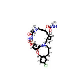 CC(C)NC(=O)O[C@H]1/C=C/CN(C)C(C)(C)C(=O)NS(=O)(=O)c2ccc3c(c2)N(CCCCc2cc(Cl)ccc2CO3)C[C@@H]2CC[C@H]21